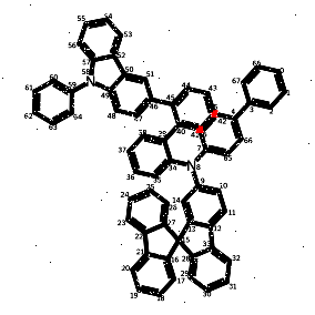 c1ccc(-c2ccc(N(c3ccc4c(c3)C3(c5ccccc5-c5ccccc53)c3ccccc3-4)c3ccccc3-c3ccccc3-c3ccc4c(c3)c3ccccc3n4-c3ccccc3)cc2)cc1